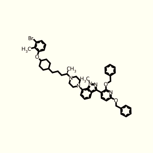 Cc1c(Br)cccc1OC1CCC(CCC[C@@H](C)N2CCN(c3cccc4c(-c5ccc(OCc6ccccc6)nc5OCc5ccccc5)nn(C)c34)CC2)CC1